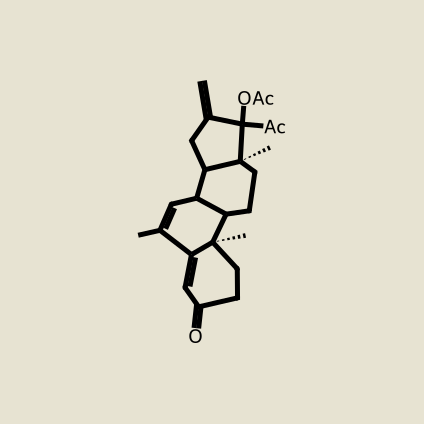 C=C1CC2C3C=C(C)C4=CC(=O)CC[C@]4(C)C3CC[C@]2(C)C1(OC(C)=O)C(C)=O